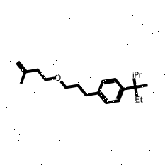 C=C(C)CCOCCCc1ccc(C(C)(CC)C(C)C)cc1